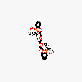 CC(C)P(=O)(O)c1ccccc1OCCOCCOCCOc1ccccc1P(=O)(O)C(C)C